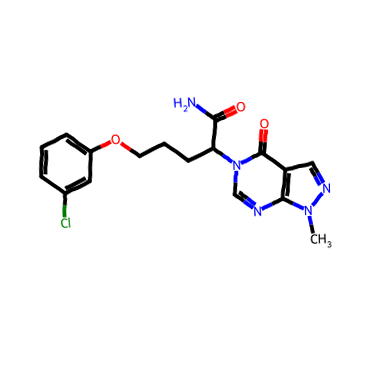 Cn1ncc2c(=O)n(C(CCCOc3cccc(Cl)c3)C(N)=O)cnc21